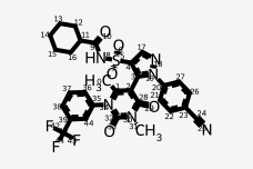 Cc1c(-c2c(S(=O)(=O)NC(=O)C3CCCCC3)cnn2-c2ccc(C#N)cc2)c(=O)n(C)c(=O)n1-c1cccc(C(F)(F)F)c1